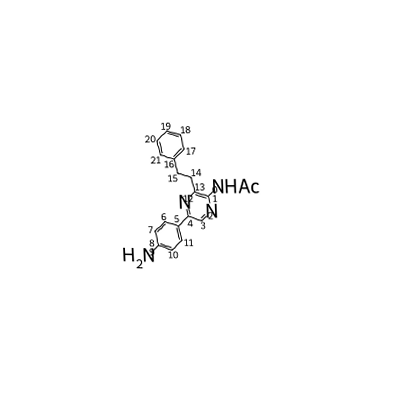 CC(=O)Nc1ncc(-c2ccc(N)cc2)nc1CCc1ccccc1